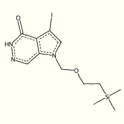 C[Si](C)(C)CCOCn1cc(I)c2c(=O)[nH]ncc21